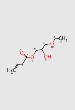 C=CCC(=O)OCC(O)COCC